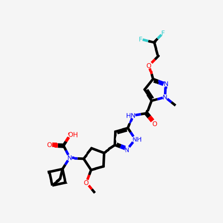 COC1CC(c2cc(NC(=O)c3cc(OCC(F)F)nn3C)[nH]n2)CC1N(C(=O)O)C12CC(C1)C2